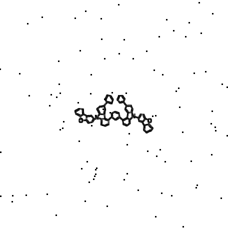 c1ccc(-c2ccc3c(c2)c2c(-c4cccc(-c5cccc6c5c5cc(-c7ccccc7)ccc5n6-c5ccc6oc7ccccc7c6c5)c4)cccc2n3-c2ccc3oc4ccccc4c3c2)cc1